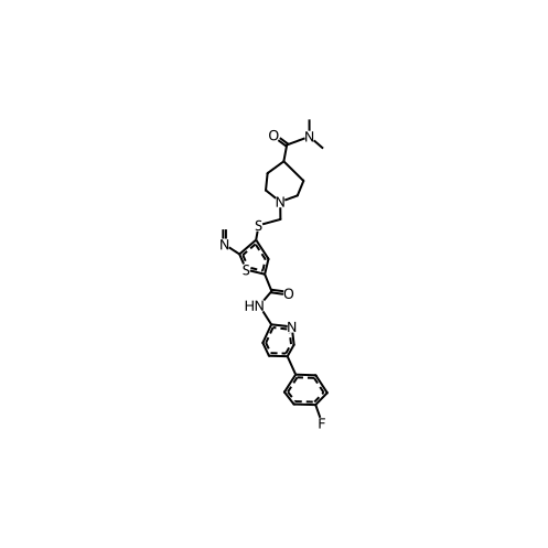 C=Nc1sc(C(=O)Nc2ccc(-c3ccc(F)cc3)cn2)cc1SCN1CCC(C(=O)N(C)C)CC1